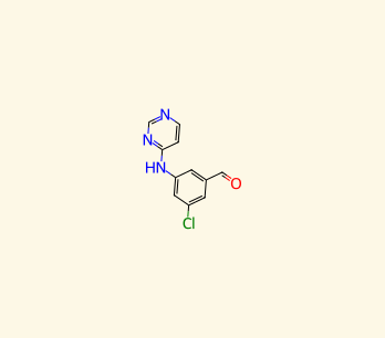 O=Cc1cc(Cl)cc(Nc2ccncn2)c1